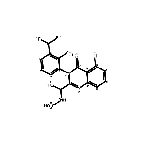 Cc1c(C(F)F)cccc1-n1c(C(C)NC(=O)O)nc2cccc(Cl)c2c1=O